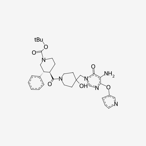 CC(C)(C)OC(=O)N1CC[C@@H](C(=O)N2CCC(O)(Cn3cnc(Oc4cccnc4)c(N)c3=O)CC2)[C@H](c2ccccc2)C1